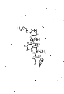 CCOc1cncc(NS(=O)(=O)c2ccccc2C(=O)N(C)Cc2ccc(F)c(F)c2)c1